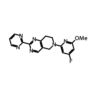 COc1cc(F)cc(N2CCc3nc(-c4ncccn4)ncc3C2)n1